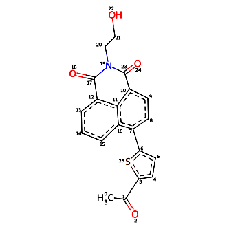 CC(=O)c1ccc(-c2ccc3c4c(cccc24)C(=O)N(CCO)C3=O)s1